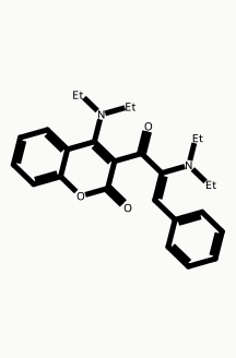 CCN(CC)C(=Cc1ccccc1)C(=O)c1c(N(CC)CC)c2ccccc2oc1=O